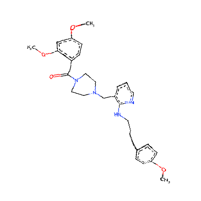 COc1ccc(CCNc2ncccc2CN2CCN(C(=O)c3ccc(OC)cc3OC)CC2)cc1